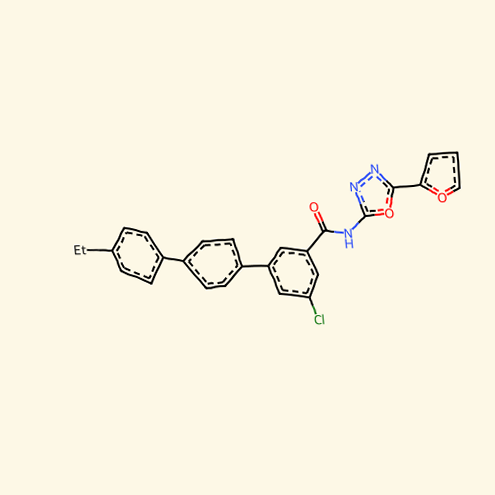 CCc1ccc(-c2ccc(-c3cc(Cl)cc(C(=O)Nc4nnc(-c5ccco5)o4)c3)cc2)cc1